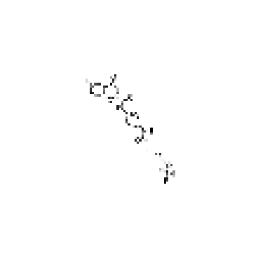 O=C(CO[C@H]1C[C@@H](OC(F)(F)F)C1)NC1CC2CC1CC2NC(=O)[C@H]1CC(=O)c2cc(Cl)ccc2O1